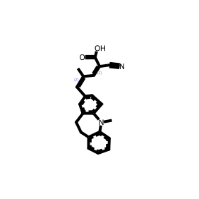 CC(=C/c1ccc2c(c1)CCc1ccccc1N2C)/C=C(/C#N)C(=O)O